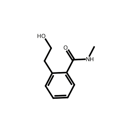 CNC(=O)c1ccccc1CCO